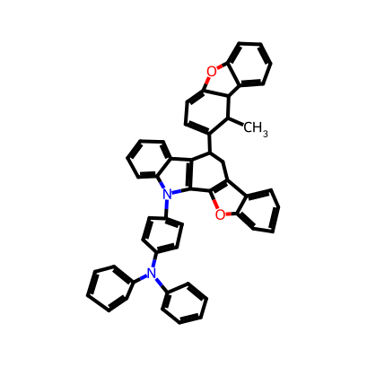 CC1C(C2Cc3c(oc4ccccc34)-c3c2c2ccccc2n3-c2ccc(N(c3ccccc3)c3ccccc3)cc2)=CC=C2Oc3ccccc3C21